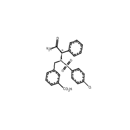 NC(=O)[C@@H](c1ccccc1)N(Cc1cccc(C(=O)O)c1)S(=O)(=O)c1ccc(Cl)cc1